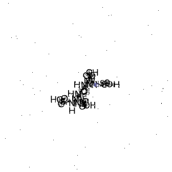 O=S(=O)(O)CCNc1nc(Nc2cccc(Nc3nc(/N=C/CSOOO)nc(S(=O)(=O)O)n3)c2)nc(S(=O)(=O)O)n1